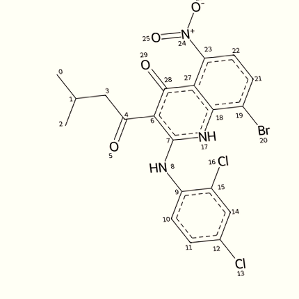 CC(C)CC(=O)c1c(Nc2ccc(Cl)cc2Cl)[nH]c2c(Br)ccc([N+](=O)[O-])c2c1=O